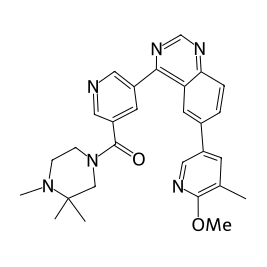 COc1ncc(-c2ccc3ncnc(-c4cncc(C(=O)N5CCN(C)C(C)(C)C5)c4)c3c2)cc1C